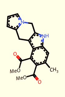 COC(=O)c1c(C)cc2[nH]c3c(c2c1C(=O)OC)Cc1cccn1C3